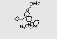 COCCN1CN(CC2CCC2)C2(CCC(c3ccccc3)(N(C)C)CC2)C1